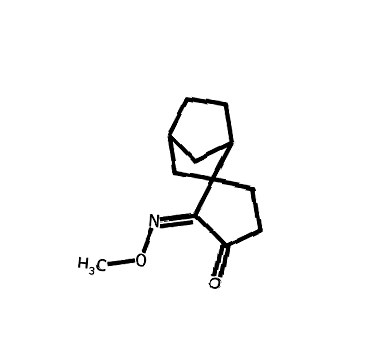 CON=C1C(=O)CCC12CC1CCC2C1